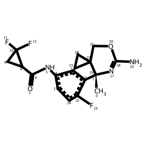 C[C@]1(c2cc(NC(=O)C3CC3(F)F)ccc2F)N=C(N)OCC12CC2